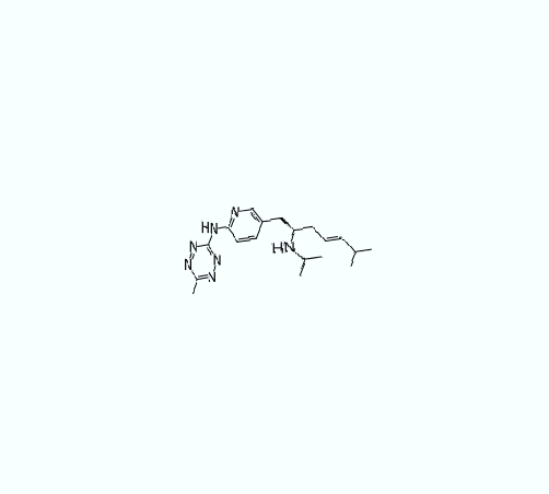 Cc1nnc(Nc2ccc(C[C@@H](C/C=C/C(C)C)NC(C)C)cn2)nn1